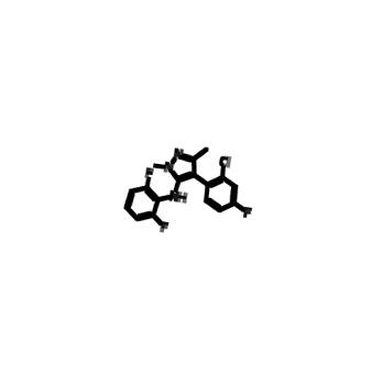 Cc1nn(C)c(Nc2c(F)cccc2F)c1-c1ccc(F)cc1Cl